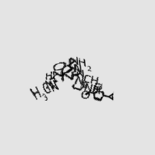 C[C@@H]1[C@H](NC(=O)c2ccc(C3CC3)cc2F)CCCN1c1nnc(C(N)=O)c(Nc2cnn(C)c2)n1